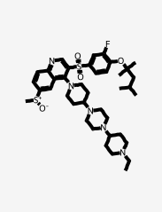 CCN1CCC(N2CCN(C3CCN(c4c(S(=O)(=O)c5ccc(OC(C)(C)CC(C)C)c(F)c5)cnc5ccc([S+](C)[O-])cc45)CC3)CC2)CC1